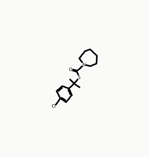 CC(C)(SC(=O)N1CCCCCC1)c1ccc(Cl)cc1